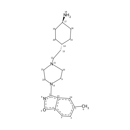 Cc1ccc2onc(N3CCN(CC[C@H]4CC[C@H](N)CC4)CC3)c2c1